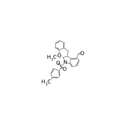 COc1ccccc1CC1CN(S(=O)(=O)c2ccc(C)cc2)c2cccc(C=O)c21